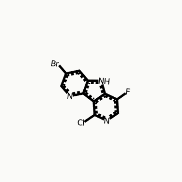 Fc1cnc(Cl)c2c1[nH]c1cc(Br)cnc12